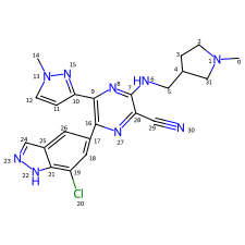 CN1CCC(CNc2nc(-c3ccn(C)n3)c(-c3cc(Cl)c4[nH]ncc4c3)nc2C#N)C1